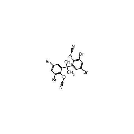 CC(C)(c1cc(Br)cc(Br)c1OC#N)c1cc(Br)cc(Br)c1OC#N